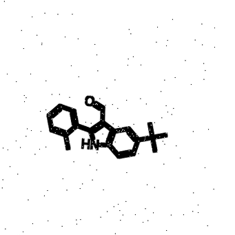 Cc1ccccc1-c1[nH]c2ccc(C(C)(C)C)cc2c1C=O